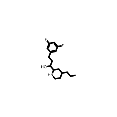 CCCC1CCNC(C(O)CCc2cc(F)cc(F)c2)C1